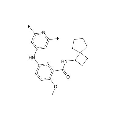 COc1ccc(Nc2cc(F)nc(F)c2)nc1C(=O)NC1CCC12CCCC2